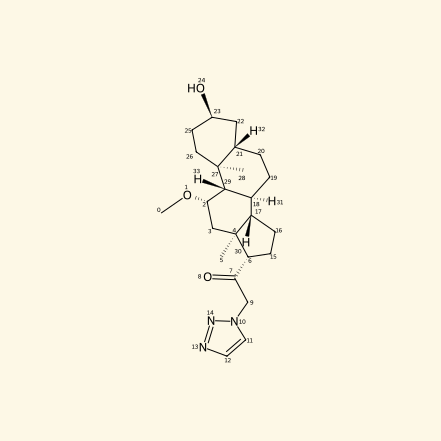 CO[C@H]1C[C@]2(C)[C@@H](C(=O)Cn3ccnn3)CC[C@H]2[C@@H]2CC[C@H]3C[C@H](O)CC[C@]3(C)[C@H]21